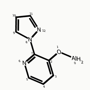 [AlH2][O]c1cccnc1-n1cccn1